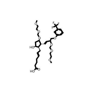 COCCOCOC(C=C[C@@H]1[C@@H](CC=CCCCC(=O)O)[C@@H](O)C[C@H]1OCOCCOC)COc1cccc(C(F)(F)F)c1